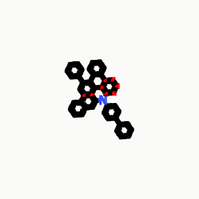 c1ccc(-c2ccc(N(c3ccc4ccccc4c3)c3ccccc3-c3cccc(-c4ccccc4)c3-c3ccccc3-c3ccccc3)cc2)cc1